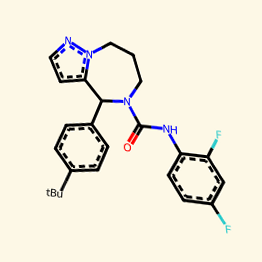 CC(C)(C)c1ccc(C2c3ccnn3CCCN2C(=O)Nc2ccc(F)cc2F)cc1